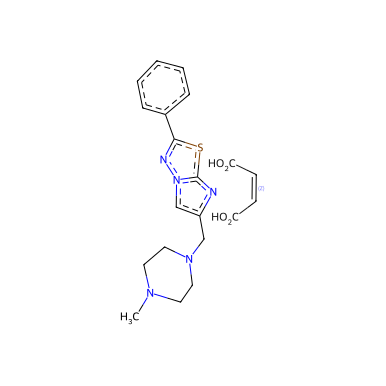 CN1CCN(Cc2cn3nc(-c4ccccc4)sc3n2)CC1.O=C(O)/C=C\C(=O)O